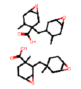 CC1(CC2C3OC3CCC2(C)C(=O)O)CCC2OC2C1.CC1CC2OC2CC1CC1(C(=O)O)CC2OC2CC1C